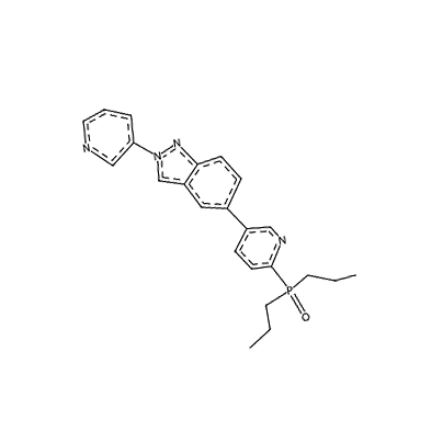 CCCP(=O)(CCC)c1ccc(-c2ccc3nn(-c4cccnc4)cc3c2)cn1